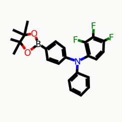 CC1(C)OB(c2ccc(N(c3ccccc3)c3ccc(F)c(F)c3F)cc2)OC1(C)C